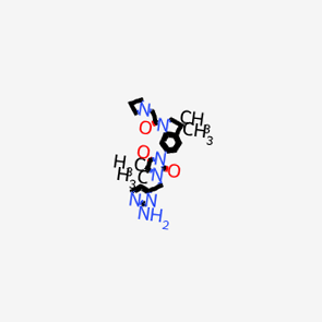 CC1(C)CN(C(=O)CN2CCC2)c2cc(N3C(=O)N(Cc4ccnc(N)n4)C(C)(C)C3=O)ccc21